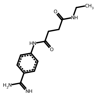 CCNC(=O)CCC(=O)Nc1ccc(C(=N)N)cc1